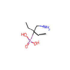 CCC(CC)(CN)P(=O)(O)O